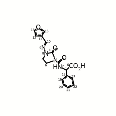 O=C(O)C(NC(=O)N1CCN(N=Cc2ccoc2)C1=O)c1ccccc1